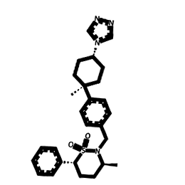 C[C@H]1CC[C@H](c2ccccc2)S(=O)(=O)N1Cc1ccc([C@]2(C)CC[C@@H](n3cnnc3)CC2)cc1